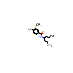 CCCC(CCC)NC(=O)c1ccc(C)c(SC)c1